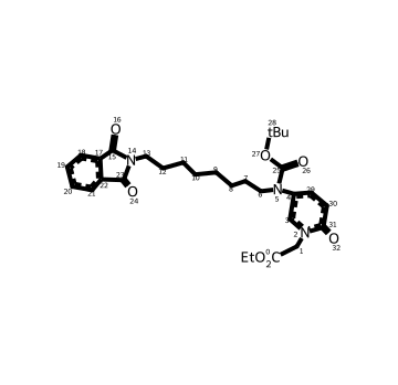 CCOC(=O)Cn1cc(N(CCCCCCCCN2C(=O)c3ccccc3C2=O)C(=O)OC(C)(C)C)ccc1=O